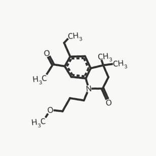 CCc1cc2c(cc1C(C)=O)N(CCCOC)C(=O)CC2(C)C